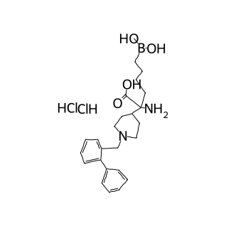 Cl.Cl.NC(CCCCB(O)O)(C(=O)O)C1CCN(Cc2ccccc2-c2ccccc2)CC1